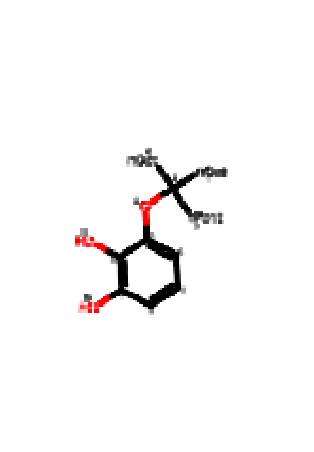 CCCCCCCCC(CCCCC)(CCCCCCCC)Oc1cccc(O)c1O